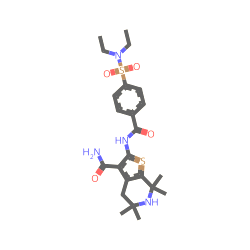 CCN(CC)S(=O)(=O)c1ccc(C(=O)Nc2sc3c(c2C(N)=O)CC(C)(C)NC3(C)C)cc1